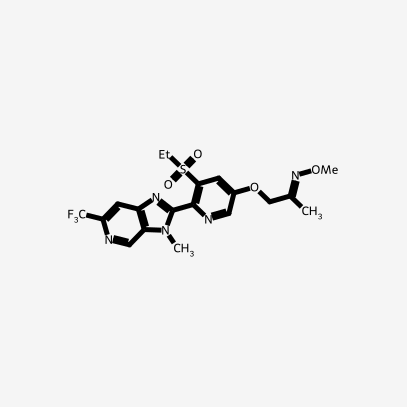 CCS(=O)(=O)c1cc(OCC(C)=NOC)cnc1-c1nc2cc(C(F)(F)F)ncc2n1C